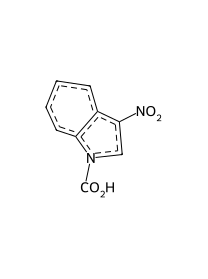 O=C(O)n1cc([N+](=O)[O-])c2ccccc21